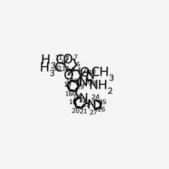 CN1OC2(CC3(CCOC(C)(C)C3)Oc3ccc(-c4cccc(-n5cccc5)n4)cc32)N=C1N